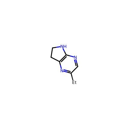 CCc1cnc2c(n1)CCN2